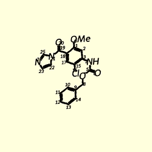 COc1cc(NC(=O)OCc2ccccc2)c(Cl)cc1C(=O)n1ccnc1